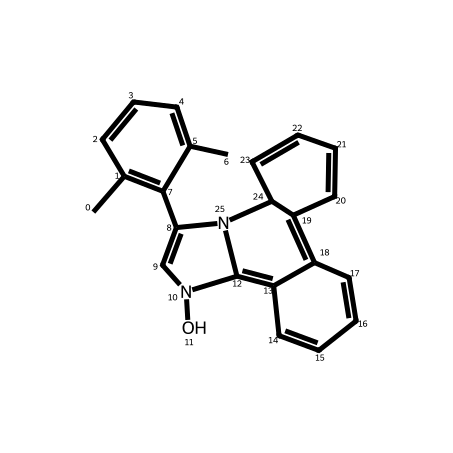 Cc1cccc(C)c1C1=CN(O)C2=c3ccccc3=C3C=CC=CC3N12